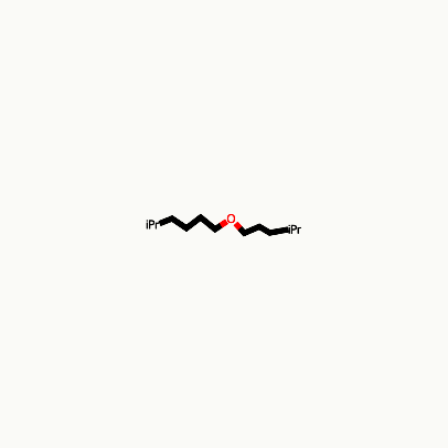 CC(C)CCCCOCCCC(C)C